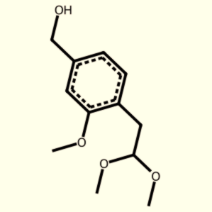 COc1cc(CO)ccc1CC(OC)OC